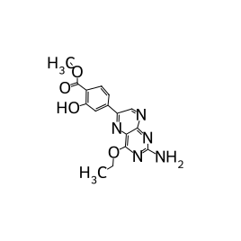 CCOc1nc(N)nc2ncc(-c3ccc(C(=O)OC)c(O)c3)nc12